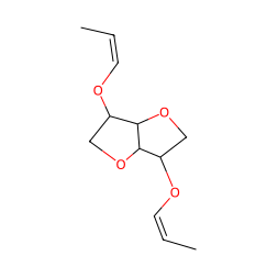 C/C=C\OC1COC2C(O/C=C\C)COC12